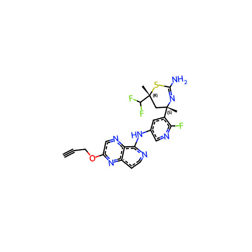 C#CCOc1cnc2c(Nc3cnc(F)c([C@]4(C)C[C@](C)(C(F)F)SC(N)=N4)c3)nccc2n1